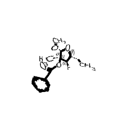 CC[C@H]1O[C@@H](OC)[C@](C)(OC(=O)c2ccccc2)[C@@H]1F